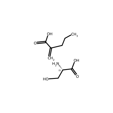 C=C(CCC)C(=O)O.N[C@@H](CO)C(=O)O